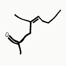 CCC=C(C)CC(C)=O